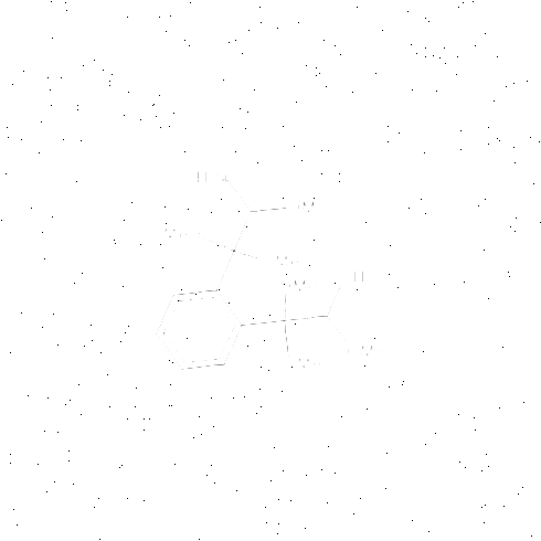 COC([SiH3])C(OC)(OC)c1ccccc1C(OC)(OC)C([SiH3])OC